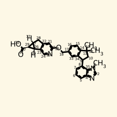 Cn1cnc2cccc(C3CC(C)(C)c4ccc(COc5cc6c(cn5)[C@H]5[C@@H](C6)[C@@H]5C(=O)O)cc43)c21